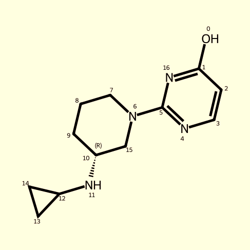 Oc1ccnc(N2CCC[C@@H](NC3CC3)C2)n1